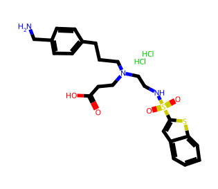 Cl.Cl.NCc1ccc(CCCN(CCNS(=O)(=O)c2cc3ccccc3s2)CCC(=O)O)cc1